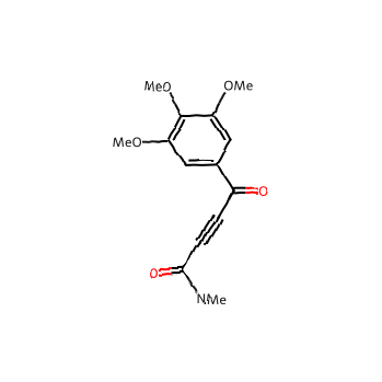 CNC(=O)C#CC(=O)c1cc(OC)c(OC)c(OC)c1